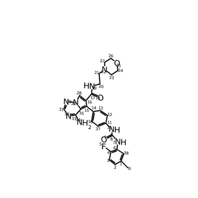 Cc1ccc(F)c(NC(=O)Nc2ccc(-c3c(C(=O)NCCN4CCOCC4)cn4ncnc(N)c34)cc2)c1